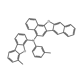 Cc1cccc(N(c2cc3c4cc5ccccc5cc4oc3c3ccccc23)c2cccc3c2oc2c(C)cccc23)c1